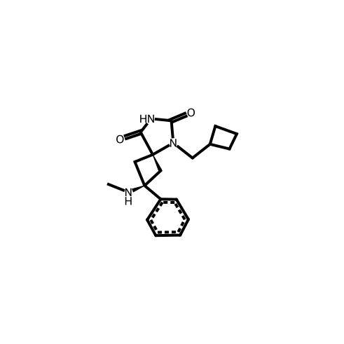 CN[C@]1(c2ccccc2)C[C@@]2(C1)C(=O)NC(=O)N2CC1CCC1